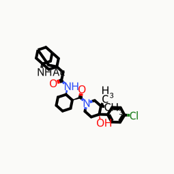 CC(=O)NC12CC3CC(CC(CC(=O)N[C@@H]4CCCC[C@@H]4C(=O)N4CC[C@](O)(c5ccc(Cl)cc5)C(C)(C)C4)(C3)C1)C2